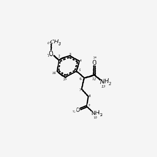 COc1ccc(C(CCC(N)=O)C(N)=O)cc1